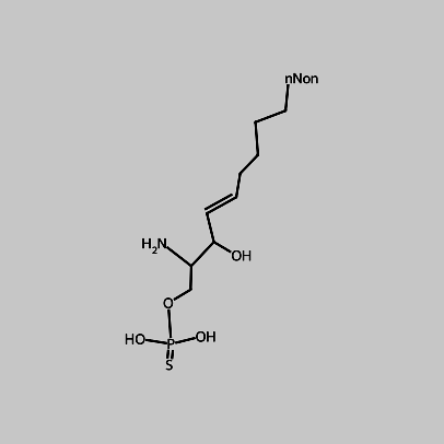 CCCCCCCCCCCCCC=CC(O)C(N)COP(O)(O)=S